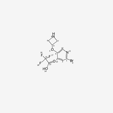 Brc1ccc(OC2CNC2)cn1.O=C(O)C(F)(F)F